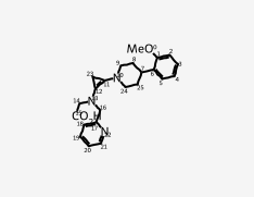 COc1ccccc1C1CCN(C2=C(N(CC(=O)O)Cc3ccccn3)C2)CC1